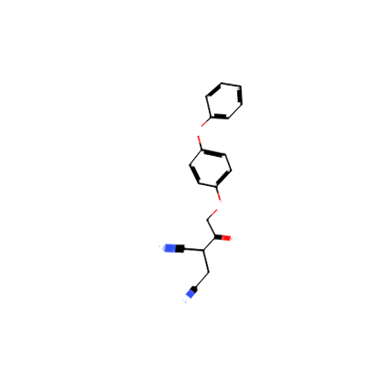 N#CCC(C#N)C(=O)COc1ccc(Oc2ccccc2)cc1